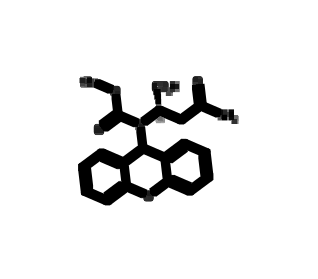 CC(C)(C)OC(=O)N(C1c2ccccc2Oc2ccccc21)[C@@H](CC(N)=O)C(=O)O